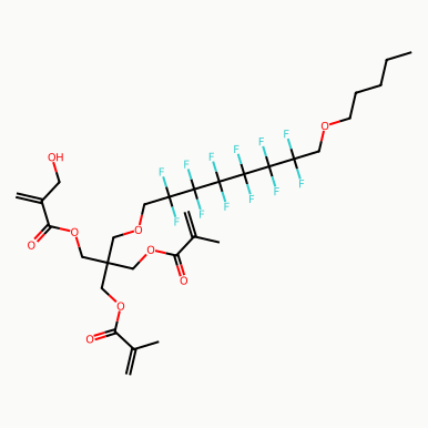 C=C(C)C(=O)OCC(COCC(F)(F)C(F)(F)C(F)(F)C(F)(F)C(F)(F)C(F)(F)COCCCCC)(COC(=O)C(=C)C)COC(=O)C(=C)CO